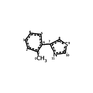 Cc1ccccc1-c1cs[c]n1